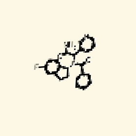 NC(=O)[C@@H](c1cccnc1)N(C(=O)c1ccccc1)[C@@H]1CCc2cc(F)ccc21